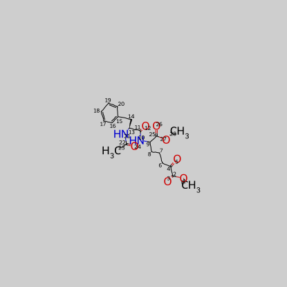 COC(=O)C(=O)CCCC(NC(=O)[C@H](Cc1ccccc1)NC(C)=O)C(=O)OC